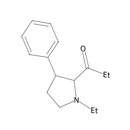 CCC(=O)C1C(c2ccccc2)CCN1CC